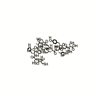 C[C@H](NC(=O)[C@@H]1CCCN1C(=O)[C@H](Cc1c[nH]cn1)NC(=O)[C@H](CS)NC(=O)[C@@H](N)CS)C(=O)N[C@@H](CS)C(=O)NCC(=O)N[C@@H](CCCNC(=N)N)C(=O)N[C@@H](Cc1c[nH]cn1)C(=O)N[C@@H](Cc1ccc(O)cc1)C(=O)N[C@@H](CO)C(=O)N[C@@H](CS)C(=O)O